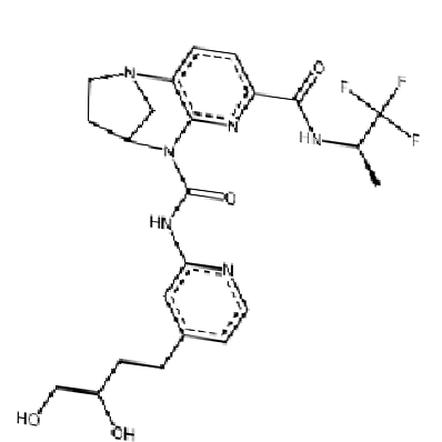 C[C@@H](NC(=O)c1ccc2c(n1)N(C(=O)Nc1cc(CCC(O)CO)ccn1)C1CCN2C1)C(F)(F)F